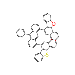 c1ccc(-c2c3cccc(-c4cc5ccccc5c5oc6ccccc6c45)c3cc3c(-c4cc5ccccc5c5sc6ccccc6c45)cccc23)cc1